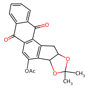 CC(=O)Oc1cc2c(c3c1C1OC(C)(C)OC1C3)C(=O)c1ccccc1C2=O